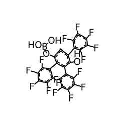 OB(O)Oc1cc(-c2c(F)c(F)c(F)c(F)c2F)c(O)c(-c2c(F)c(F)c(F)c(F)c2F)c1-c1c(F)c(F)c(F)c(F)c1F